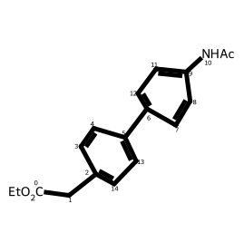 CCOC(=O)Cc1ccc(-c2ccc(NC(C)=O)cc2)cc1